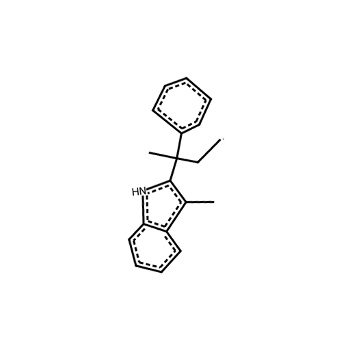 [CH2]CC(C)(c1ccccc1)c1[nH]c2ccccc2c1C